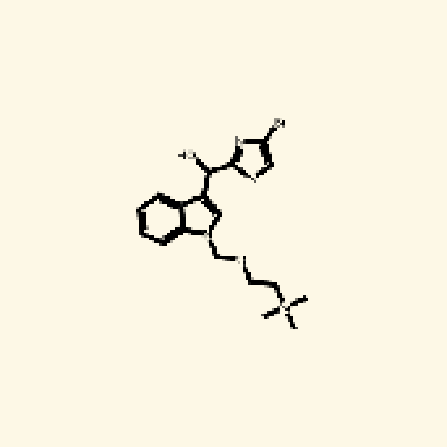 C[Si](C)(C)CCOCn1cc(C(O)c2nc(Br)cs2)c2ccccc21